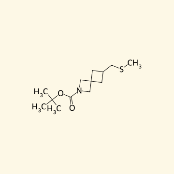 CSCC1CC2(C1)CN(C(=O)OC(C)(C)C)C2